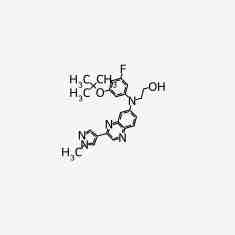 Cn1cc(-c2cnc3ccc(N(CCO)c4cc(F)cc(OC(C)(C)C)c4)cc3n2)cn1